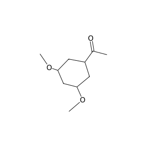 COC1CC(OC)CC(C(C)=O)C1